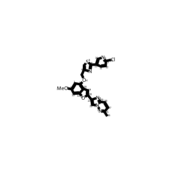 COc1cc(OCc2csc(-c3ccc(Cl)nc3)n2)c2cc(-c3cn4nc(C)ccc4n3)oc2c1